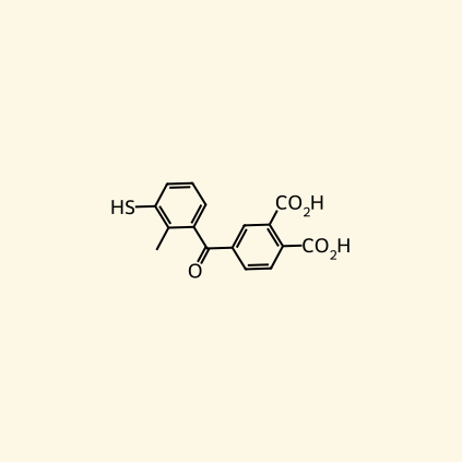 Cc1c(S)cccc1C(=O)c1ccc(C(=O)O)c(C(=O)O)c1